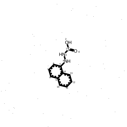 O=S(O)NNc1cccc2ccccc12